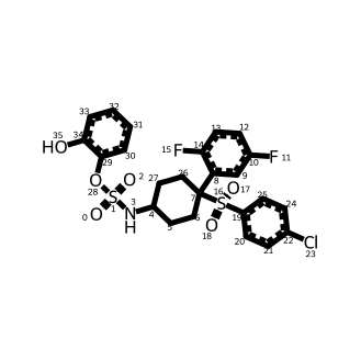 O=S(=O)(NC1CCC(c2cc(F)ccc2F)(S(=O)(=O)c2ccc(Cl)cc2)CC1)Oc1ccccc1O